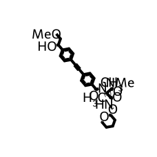 CNC(=O)[C@@](C)(C(=O)NOC1CCCCO1)N(C)C(=O)c1ccc(C#Cc2ccc(C(O)COC)cc2)cc1